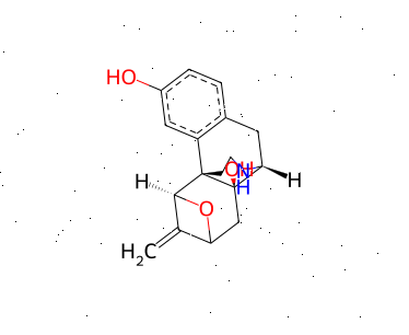 C=C1C2C[C@@]3(O)[C@H]4Cc5ccc(O)cc5[C@@]3(CCN4)[C@H]1O2